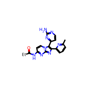 CCC(=O)Nc1ccn2c(-c3ccnc(N)n3)c(-c3cccc(C)n3)nc2n1